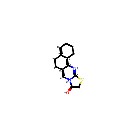 O=C1CSC2=NC3=C4CCCC=C4CCC3=CN12